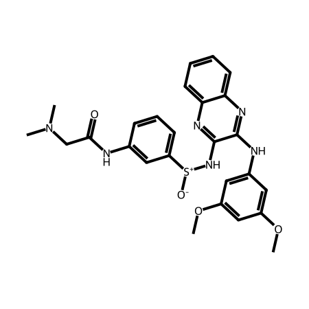 COc1cc(Nc2nc3ccccc3nc2N[S+]([O-])c2cccc(NC(=O)CN(C)C)c2)cc(OC)c1